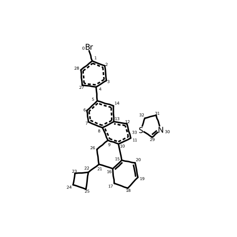 Brc1ccc(-c2ccc3c4c(ccc3c2)C2=C(CCC=C2)C(C2CCC2)C4)cc1.C1=NCCS1